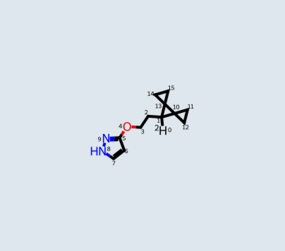 [2H]C1(CCOc2cc[nH]n2)C2(CC2)C12CC2